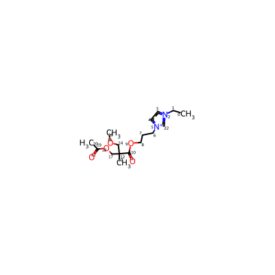 CCn1cc[n+](CCCOC(=O)C(C)(COC)COC(C)=O)c1